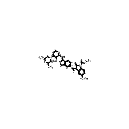 COc1ccc2c(c1)[C@]1(C[C@H]1c1ccc3c(c1)CN=C3Nc1ncnc(N3C[C@@H](C)O[C@@H](C)C3)c1OC)C(=O)N2C(=O)OC(C)(C)C